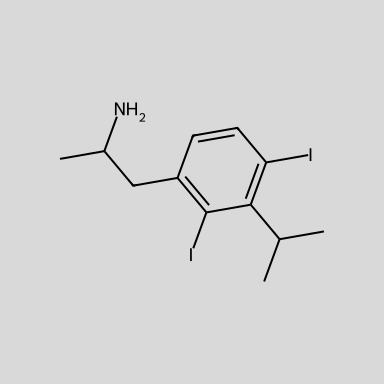 CC(N)Cc1ccc(I)c(C(C)C)c1I